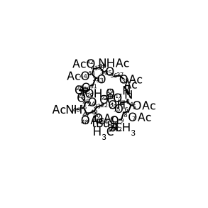 CC(=O)N=NC1C(OC(C)=O)[C@H](OC(C)=O)C(CO[Si](C)(C)C(C)(C)C)O[C@@H]1OP(=O)(O)OCC1O[C@H](OP(=O)(O)OCC2O[C@H](OCCOC(C)=O)C(NC(C)=O)C(OC(C)=O)[C@@H]2OC(C)=O)C(NC(C)=O)C(OC(C)=O)[C@@H]1OC(C)=O